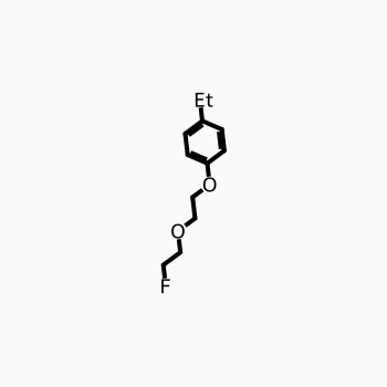 CCc1ccc(OCCOCCF)cc1